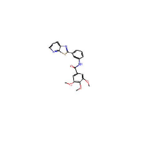 COc1cc(C(=O)Nc2cccc(-c3nc4cccnc4s3)c2)cc(OC)c1OC